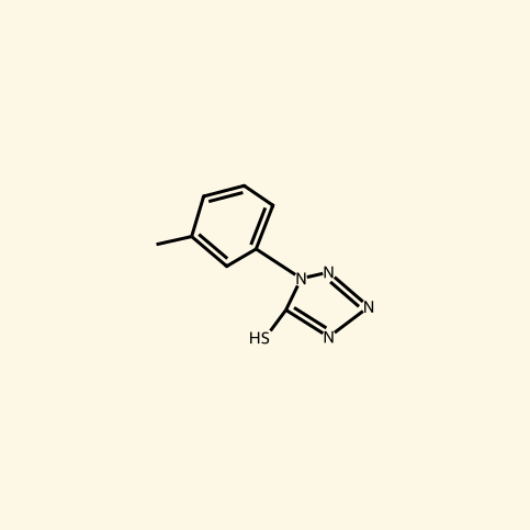 Cc1cccc(-n2nnnc2S)c1